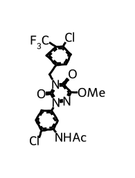 COc1nn(-c2ccc(Cl)c(NC(C)=O)c2)c(=O)n(Cc2ccc(Cl)c(C(F)(F)F)c2)c1=O